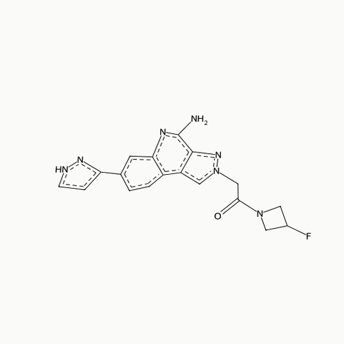 Nc1nc2cc(-c3cc[nH]n3)ccc2c2cn(CC(=O)N3CC(F)C3)nc12